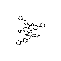 O=C(N[C@@H](Cc1ccc(-c2ccccc2)cc1)C(=O)O)c1cc(Cl)ccc1N(Cc1ccc(-c2ccccc2)cc1)C(=O)c1ccc(-c2ccccc2)cc1